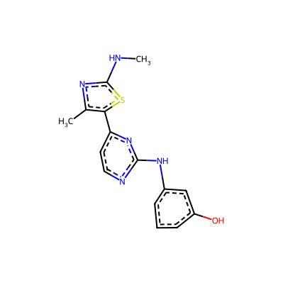 CNc1nc(C)c(-c2ccnc(Nc3cccc(O)c3)n2)s1